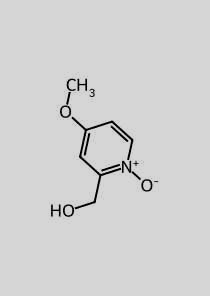 COc1cc[n+]([O-])c(CO)c1